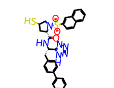 O=C(N[C@@H](Cc1ccc(-c2ccccc2)cc1)c1nnn[nH]1)[C@@H]1C[C@@H](S)CN1S(=O)(=O)c1ccc2ccccc2c1